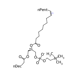 CCCCC/C=C\CCCCCCCC(=O)O[C@H](COC(=O)CCCCCCCCCCC)COP(=O)([O-])OCC[N+](C)(C)C